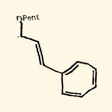 [CH2]CCCC[CH]C=Cc1ccccc1